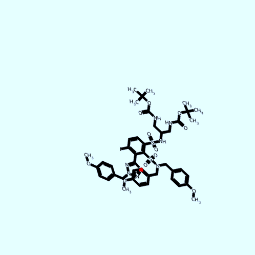 COc1ccc(CN(Cc2ccc(OC)cc2)S(=O)(=O)c2c(S(=O)(=O)NC(CNC(=O)OC(C)(C)C)CNC(=O)OC(C)(C)C)ccc(I)c2-c2nnn(Cc3ccc(OC)cc3)n2)cc1